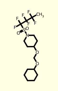 CC(F)(F)C(F)(F)C(F)(F)S(=O)(=O)N1CCC(OCOC2CCCCC2)CC1